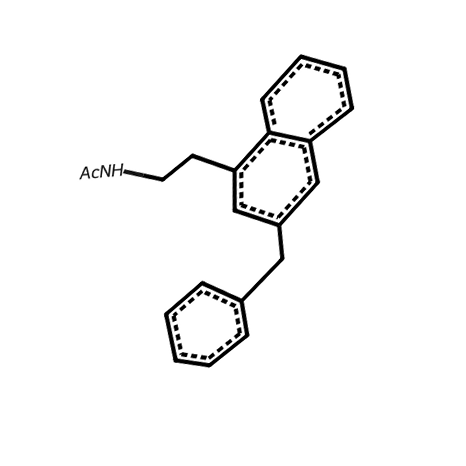 CC(=O)NCCc1cc(Cc2ccccc2)cc2ccccc12